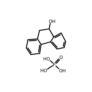 O=P(O)(O)O.OC1Cc2ccccc2-c2ccccc21